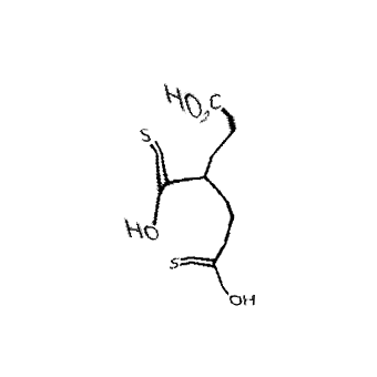 O=C(O)CC(CC(O)=S)C(O)=S